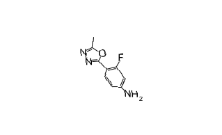 Cc1nnc(-c2ccc(N)cc2F)o1